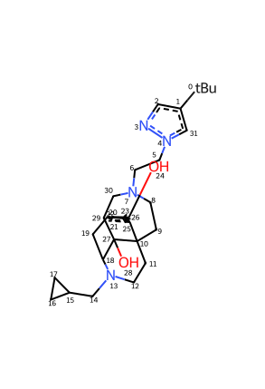 CC(C)(C)c1cnn(CCN2CCC34CCN(CC5CC5)C(Cc5ccc(O)cc53)C4(O)CC2)c1